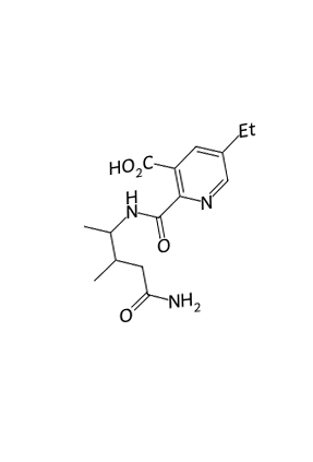 CCc1cnc(C(=O)NC(C)C(C)CC(N)=O)c(C(=O)O)c1